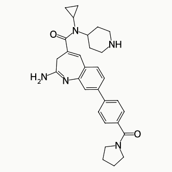 NC1=Nc2cc(-c3ccc(C(=O)N4CCCC4)cc3)ccc2C=C(C(=O)N(C2CCNCC2)C2CC2)C1